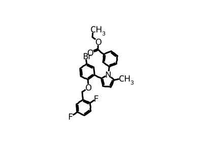 CCOC(=O)c1cccc(-n2c(C)ccc2-c2cc(Br)ccc2OCc2cc(F)ccc2F)c1